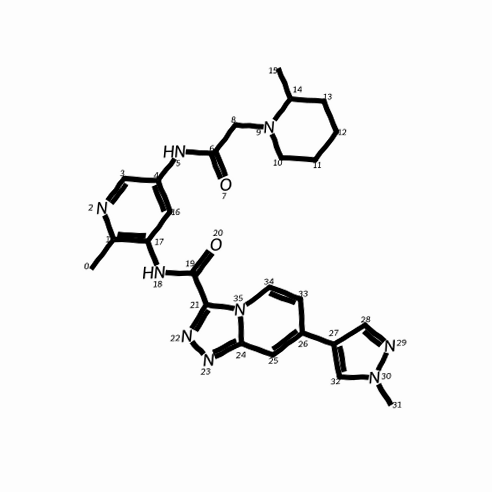 Cc1ncc(NC(=O)CN2CCCCC2C)cc1NC(=O)c1nnc2cc(-c3cnn(C)c3)ccn12